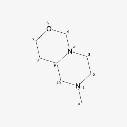 CN1CCN2COCCC2C1